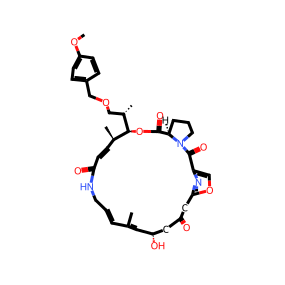 COc1ccc(COC[C@H](C)[C@H]2OC(=O)[C@H]3CCCN3C(=O)c3coc(n3)CC(=O)C[C@H](O)/C=C(C)/C=C/CNC(=O)/C=C/[C@H]2C)cc1